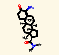 CC(C)N(C(=O)[C@H]1CC[C@H]2[C@@H]3CCC4=C(N)C(=O)CC[C@]4(C)[C@H]3CC[C@]12C)C(C)C